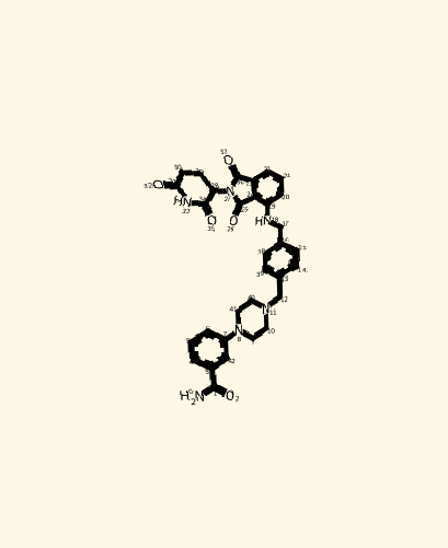 NC(=O)c1cccc(N2CCN(Cc3ccc(CNc4cccc5c4C(=O)N(C4CCC(=O)NC4=O)C5=O)cc3)CC2)c1